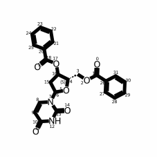 O=C(OC[C@@H]1OC(n2ccc(=O)[nH]c2=O)CC1OC(=O)c1ccccc1)c1ccccc1